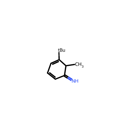 CC1C(=N)C=CC=C1C(C)(C)C